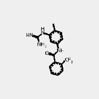 Cc1ccc(NC(=O)c2ccccc2C(F)(F)F)cc1NC(=N)N